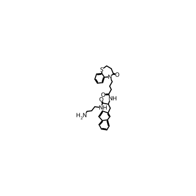 NCCCNC(=O)C(Cc1ccc2ccccc2c1)NC(=O)CCCN1C(=O)CCSc2ccccc21